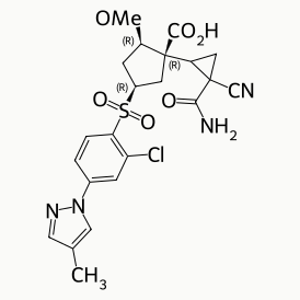 CO[C@@H]1C[C@H](S(=O)(=O)c2ccc(-n3cc(C)cn3)cc2Cl)C[C@@]1(C(=O)O)C1CC1(C#N)C(N)=O